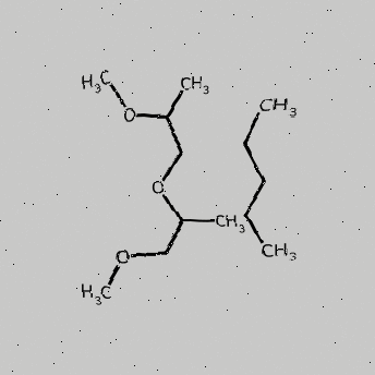 CCCCC.COCC(C)OCC(C)OC